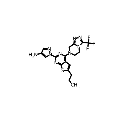 CCCc1cc2c(N3CCn4c(nnc4C(F)(F)F)C3)nc(-n3cc(N)cn3)nc2s1